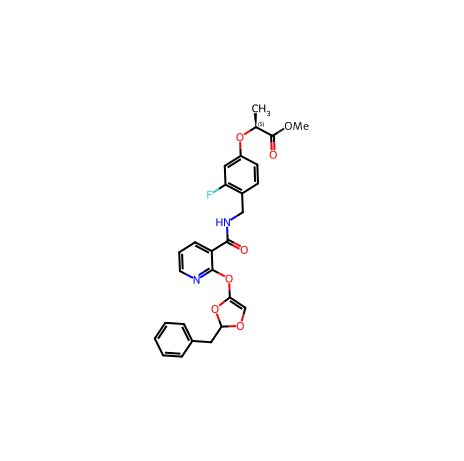 COC(=O)[C@H](C)Oc1ccc(CNC(=O)c2cccnc2OC2=COC(Cc3ccccc3)O2)c(F)c1